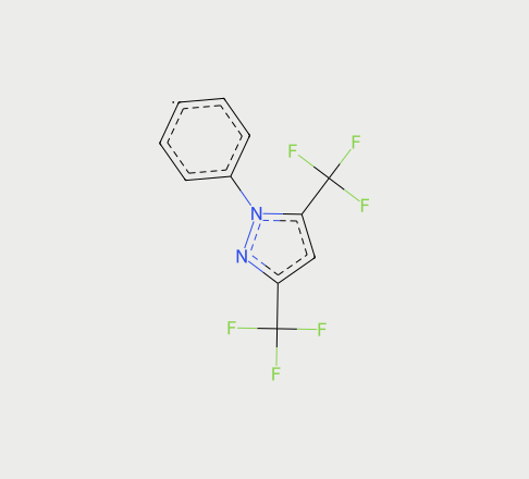 FC(F)(F)c1cc(C(F)(F)F)n(-c2cc[c]cc2)n1